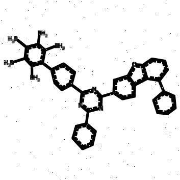 Bc1c(B)c(B)c(-c2ccc(-c3nc(-c4ccccc4)nc(-c4ccc5c(c4)oc4cccc(-c6ccccc6)c45)n3)cc2)c(B)c1B